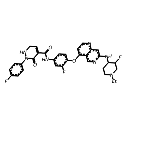 CCN1CCC(Nc2cc3nccc(Oc4ccc(NC(=O)C5=CCNN(c6ccc(F)cc6)C5=O)cc4F)c3cn2)C(F)C1